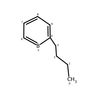 CCCCc1bcccc1